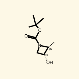 C[C@@H]1[C@H](O)CN1C(=O)OC(C)(C)C